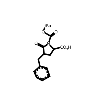 CC(C)(C)OC(=O)N1C(=O)C(Cc2ccccc2)CC1C(=O)O